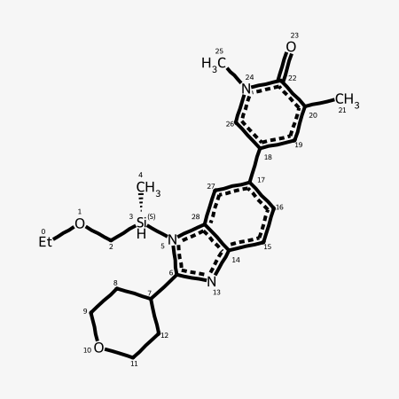 CCOC[Si@H](C)n1c(C2CCOCC2)nc2ccc(-c3cc(C)c(=O)n(C)c3)cc21